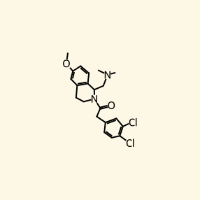 COc1ccc2c(c1)CCN(C(=O)Cc1ccc(Cl)c(Cl)c1)C2CN(C)C